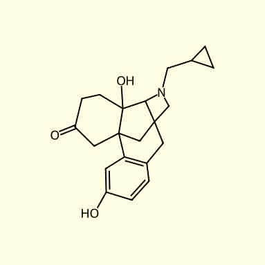 O=C1CCC2(O)C3N(CC4CC4)CC34Cc3ccc(O)cc3C2(C1)C4